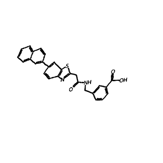 O=C(Cc1nc2ccc(-c3ccc4ccccc4c3)cc2s1)NCc1cccc(C(=O)O)c1